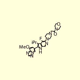 COc1cc(-c2[nH]c3cnc(N4CCN(CC(=O)N5CCOCC5)CC4)c(F)c3c2C(C)C)cn2ncnc12